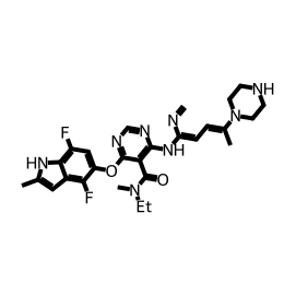 C=N/C(=C\C=C(/C)N1CCNCC1)Nc1ncnc(Oc2cc(F)c3[nH]c(C)cc3c2F)c1C(=O)N(C)CC